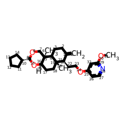 C=C1CCC2[C@]3(C)CO[C@@H](C4CCCC4)O[C@@H]3CC[C@@]2(C)[C@@H]1CCOc1ccnc(OC)c1